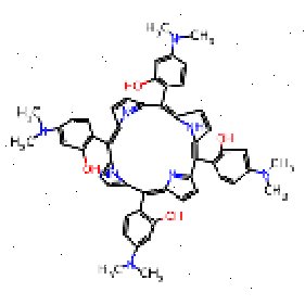 CN(C)c1ccc(-c2c3nc(c(-c4ccc(N(C)C)cc4O)c4ccc([nH]4)c(-c4ccc(N(C)C)cc4O)c4nc(c(-c5ccc(N(C)C)cc5O)c5ccc2[nH]5)C=C4)C=C3)c(O)c1